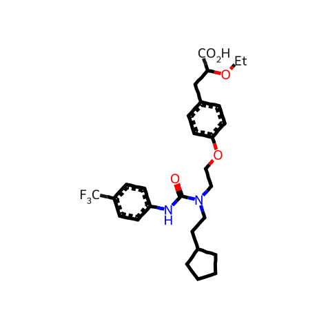 CCOC(Cc1ccc(OCCN(CCC2CCCC2)C(=O)Nc2ccc(C(F)(F)F)cc2)cc1)C(=O)O